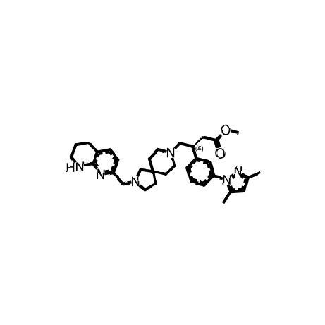 COC(=O)C[C@H](CN1CCC2(CC1)CCN(Cc1ccc3c(n1)NCCC3)C2)c1cccc(-n2nc(C)cc2C)c1